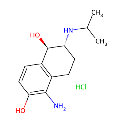 CC(C)N[C@@H]1CCc2c(ccc(O)c2N)[C@H]1O.Cl